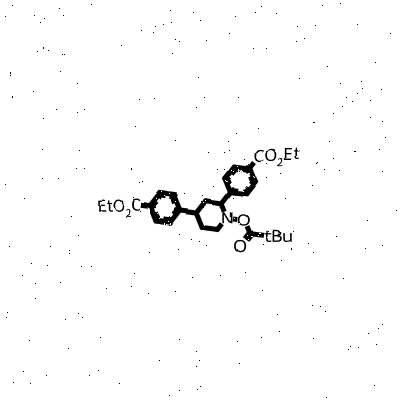 CCOC(=O)c1ccc(C2CCN(OC(=O)C(C)(C)C)C(c3ccc(C(=O)OCC)cc3)C2)cc1